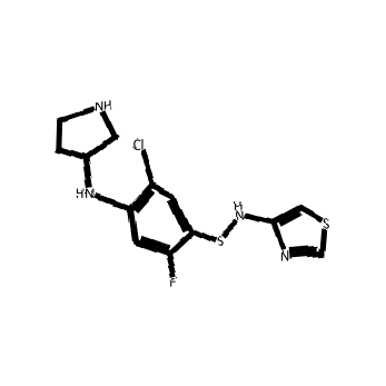 Fc1cc(NC2CCNC2)c(Cl)cc1SNc1cscn1